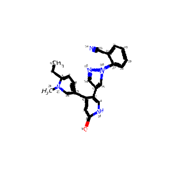 CCC1=CC=C(c2cc(=O)[nH]cc2-c2cnn(-c3ccccc3C#N)c2)CN1C